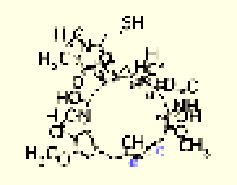 COc1cc2cc(c1Cl)N(C)C(O)C[C@H](OC(=O)[C@H](C)N(C)C(=O)CCS)[C@@]1(C)C[C@H]1[C@H](C)[C@@H]1C[C@@](O)(NC(=O)O1)[C@H](OC)/C=C/C=C(\C)C2